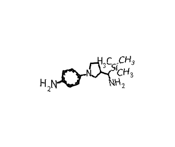 C[Si](C)(C)C(N)C1CCN(c2ccc(N)cc2)C1